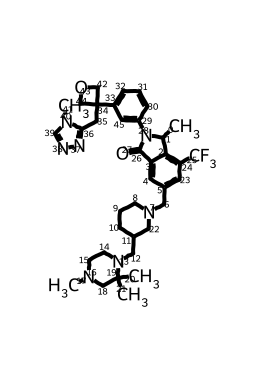 CC1c2c(cc(CN3CCCC(CN4CCN(C)CC4(C)C)C3)cc2C(F)(F)F)C(=O)N1c1cccc(C2(Cc3nncn3C)COC2)c1